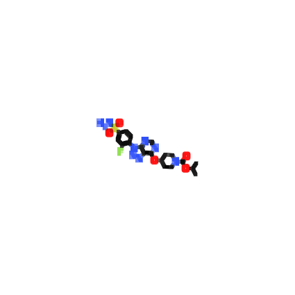 CC(C)OC(=O)N1CCC(Oc2ncnc3c2nnn3-c2ccc(S(N)(=O)=O)cc2F)CC1